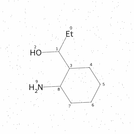 CCC(O)C1CCCCC1N